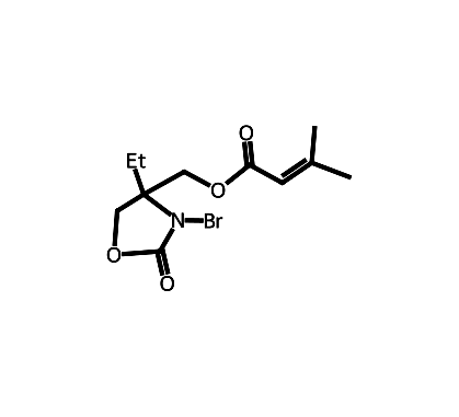 CCC1(COC(=O)C=C(C)C)COC(=O)N1Br